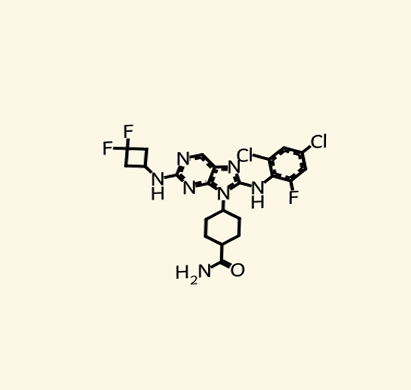 NC(=O)C1CCC(n2c(Nc3c(F)cc(Cl)cc3Cl)nc3cnc(NC4CC(F)(F)C4)nc32)CC1